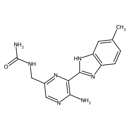 Cc1ccc2nc(-c3nc(CNC(N)=O)cnc3N)[nH]c2c1